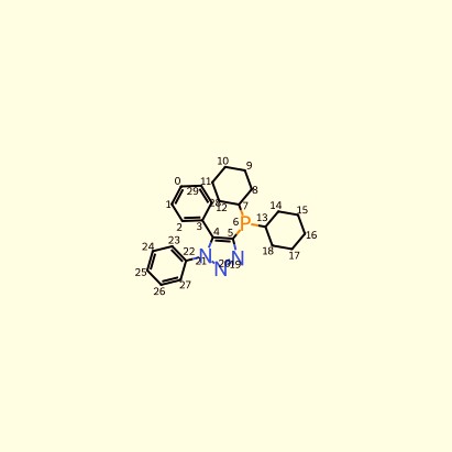 c1ccc(-c2c(P(C3CCCCC3)C3CCCCC3)nnn2-c2ccccc2)cc1